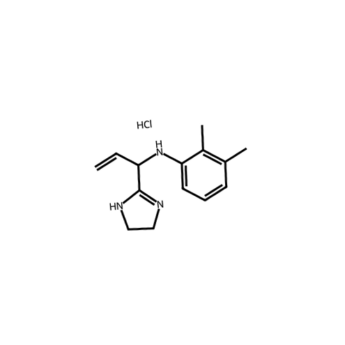 C=CC(Nc1cccc(C)c1C)C1=NCCN1.Cl